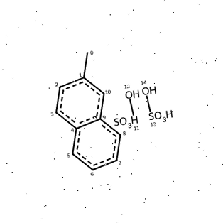 Cc1ccc2ccccc2c1.O=S(=O)(O)O.O=S(=O)(O)O